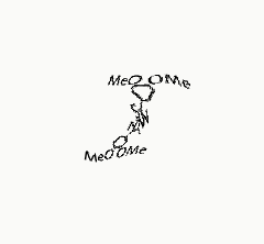 COc1ccc(-c2nn3c(C)c(-c4ccc(OC)c(OC)c4)nc3s2)cc1OC